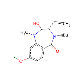 C=C[C@H]1C(O)N(C)c2cc(OF)ccc2C(=O)N1CCCC